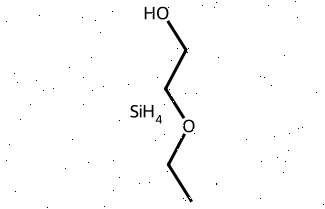 CCOCCO.[SiH4]